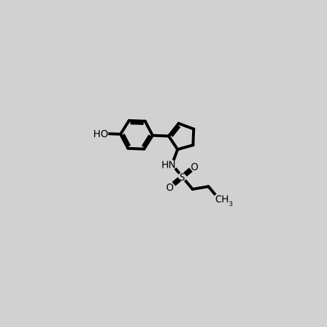 CCCS(=O)(=O)NC1CCC=C1c1ccc(O)cc1